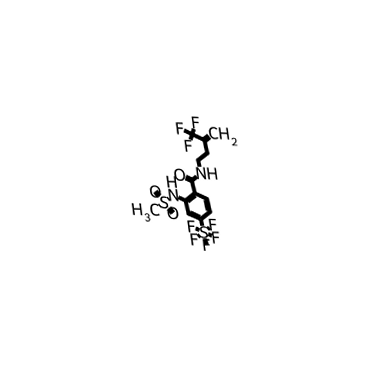 C=C(CCNC(=O)c1ccc(S(F)(F)(F)(F)F)cc1NS(C)(=O)=O)C(F)(F)F